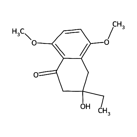 CCC1(O)CC(=O)c2c(OC)ccc(OC)c2C1